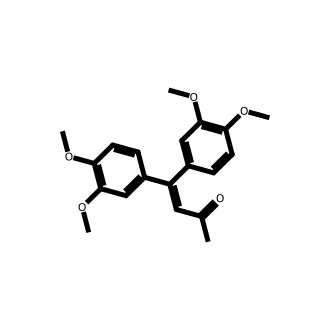 COc1ccc(C(=CC(C)=O)c2ccc(OC)c(OC)c2)cc1OC